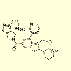 COc1ncccc1-c1cc(C(=O)N2Cc3cnn(C)c3C2)cc2cc(C3=CCCNC3)n(CC3CC3)c12